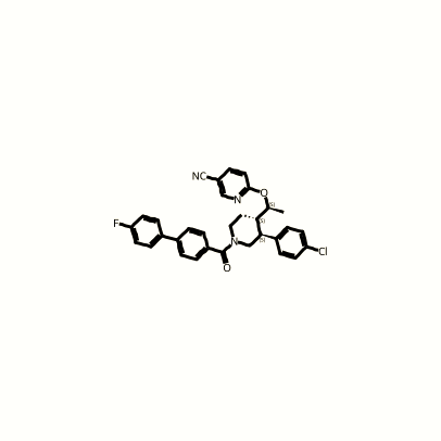 C[C@H](Oc1ccc(C#N)cn1)[C@H]1CCN(C(=O)c2ccc(-c3ccc(F)cc3)cc2)C[C@@H]1c1ccc(Cl)cc1